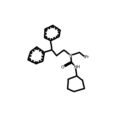 CC(C)CN(CCC(c1ccccc1)c1ccccc1)C(=O)NC1CCCCC1